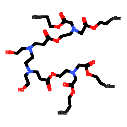 CCCCCCCCCCCCOC(=O)CN(CCOC(=O)CCN(CCO)CCN(CCO)CCC(=O)OCCN(CC(=O)OCCCCCCCCCCCC)CC(=O)OCCCCCCCCCCCC)CC(=O)OCCCCCCCCCCCC